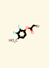 O=C(CBr)Oc1ccc(C(=O)O)c(F)c1F